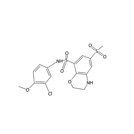 COc1ccc(NS(=O)(=O)c2cc(S(C)(=O)=O)cc3c2OCCN3)cc1Cl